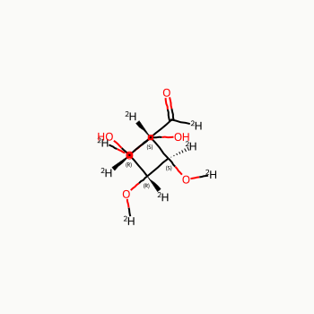 [2H]O[C@@]([2H])([C@]([2H])(O[2H])[C@]([2H])(O[2H])C([2H])=O)[C@]([2H])(O)CO